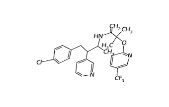 C=C(NC(C)C(Cc1ccc(Cl)cc1)c1cccnc1)C(C)(C)Oc1ccc(C(F)(F)F)cn1